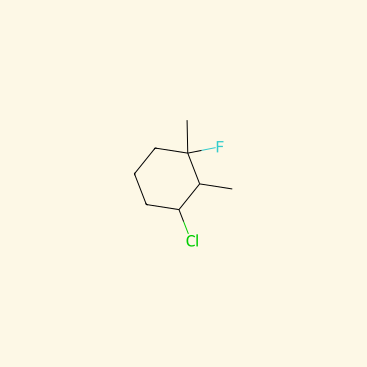 CC1C(Cl)CCCC1(C)F